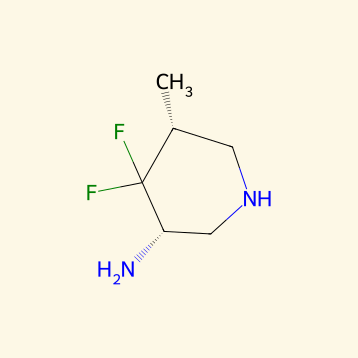 C[C@@H]1CNC[C@H](N)C1(F)F